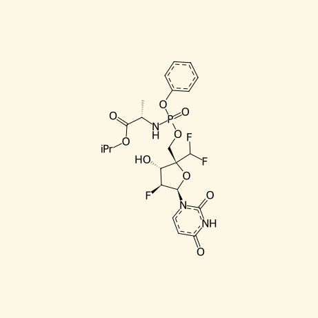 CC(C)OC(=O)[C@H](C)NP(=O)(OC[C@@]1(C(F)F)O[C@@H](n2ccc(=O)[nH]c2=O)[C@@H](F)[C@@H]1O)Oc1ccccc1